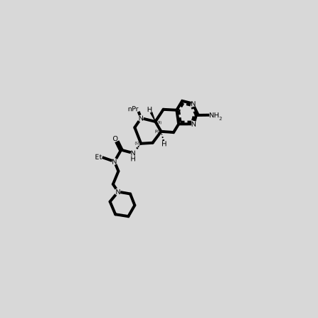 CCCN1C[C@@H](NC(=O)N(CC)CCN2CCCCC2)C[C@@H]2Cc3nc(N)ncc3C[C@H]21